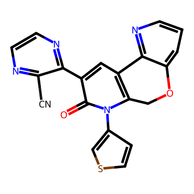 N#Cc1nccnc1-c1cc2c(n(-c3ccsc3)c1=O)COc1cccnc1-2